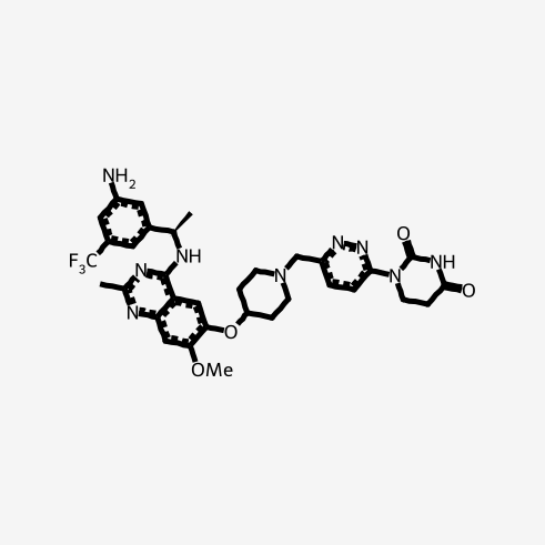 COc1cc2nc(C)nc(N[C@H](C)c3cc(N)cc(C(F)(F)F)c3)c2cc1OC1CCN(Cc2ccc(N3CCC(=O)NC3=O)nn2)CC1